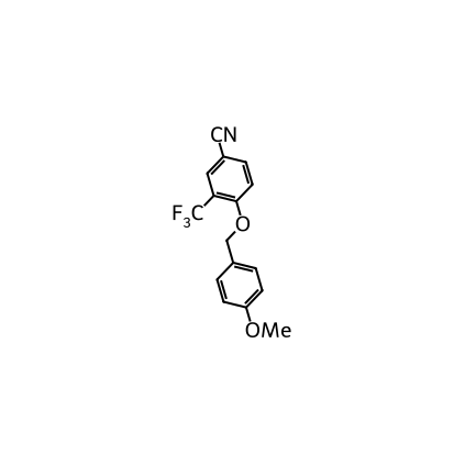 COc1ccc(COc2ccc(C#N)cc2C(F)(F)F)cc1